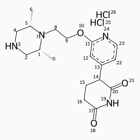 C[C@@H]1CNC[C@H](C)N1CCOc1cc(C2CCC(=O)NC2=O)ccn1.Cl.Cl